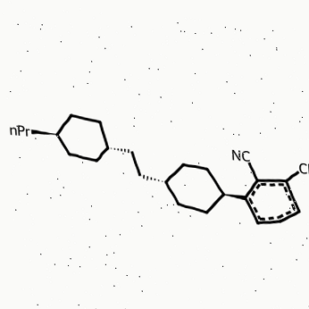 CCC[C@H]1CC[C@H](CC[C@H]2CC[C@H](c3cccc(C#N)c3C#N)CC2)CC1